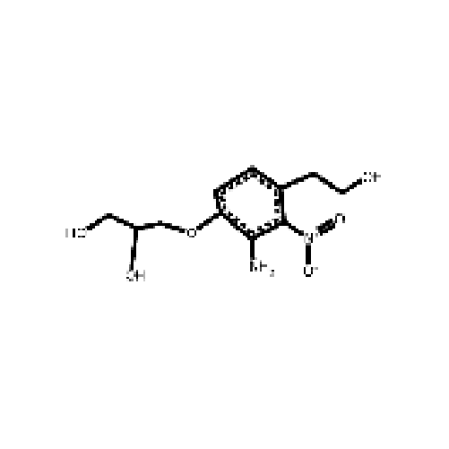 Nc1c(OCC(O)CO)ccc(CCO)c1[N+](=O)[O-]